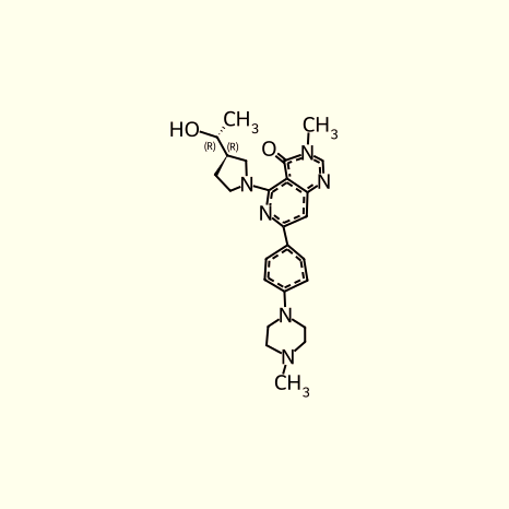 C[C@@H](O)[C@@H]1CCN(c2nc(-c3ccc(N4CCN(C)CC4)cc3)cc3ncn(C)c(=O)c23)C1